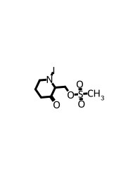 CS(=O)(=O)OCC1C(=O)CCCN1I